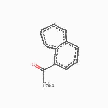 CCCCCCC(=O)c1cccc2ccccc12